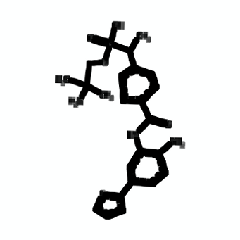 CC(c1ccc(C(=O)Nc2cc(-c3cccs3)ccc2N)cc1)P(=O)(O)OCC(C)(C)N